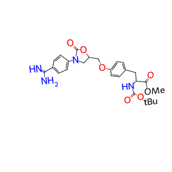 COC(=O)C(Cc1ccc(OCC2CN(c3ccc(C(=N)N)cc3)C(=O)O2)cc1)NC(=O)OC(C)(C)C